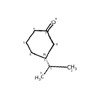 CC(C)[C@@H]1CCCC(=O)C1